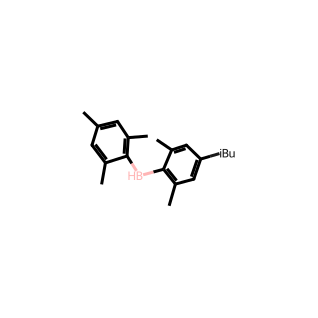 CCC(C)c1cc(C)c(Bc2c(C)cc(C)cc2C)c(C)c1